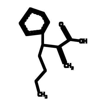 C=C(C(=O)O)C(CCCC)c1ccccc1